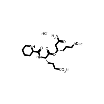 CCCCCCCCCCCCC[C@@H](CC(N)=O)OC(=O)[C@H](CCCC(=O)O)NC(=O)C1CCCCN1.Cl